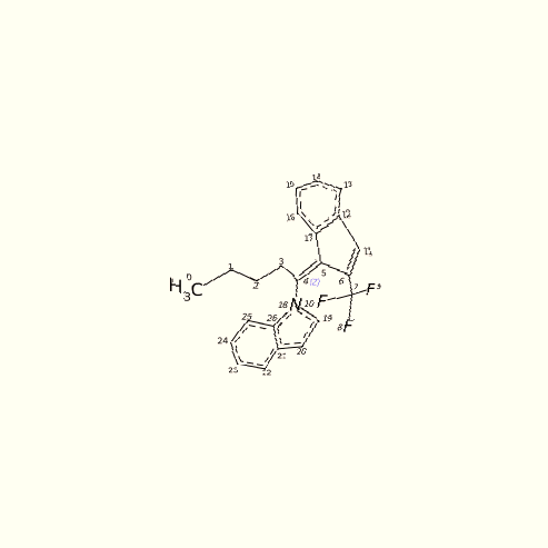 CCCC/C(=C1/C(C(F)(F)F)=Cc2ccccc21)n1ccc2ccccc21